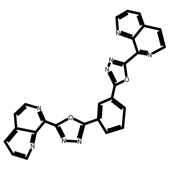 c1cc(-c2nnc(-c3nccc4cccnc34)o2)cc(-c2nnc(-c3nccc4cccnc34)o2)c1